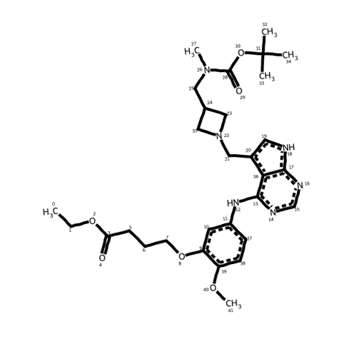 CCOC(=O)CCCOc1cc(Nc2ncnc3[nH]cc(CN4CC(CN(C)C(=O)OC(C)(C)C)C4)c23)ccc1OC